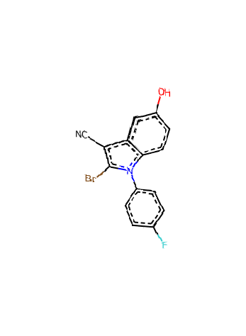 N#Cc1c(Br)n(-c2ccc(F)cc2)c2ccc(O)cc12